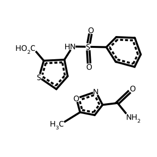 Cc1cc(C(N)=O)no1.O=C(O)c1sccc1NS(=O)(=O)c1ccccc1